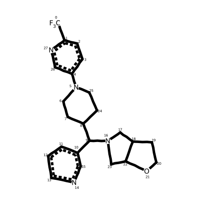 FC(F)(F)c1ccc(N2CCC(C(c3cccnc3)N3CC4CCOC4C3)CC2)cn1